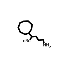 CCCCC(CCCN)C1CCCCCCCC1